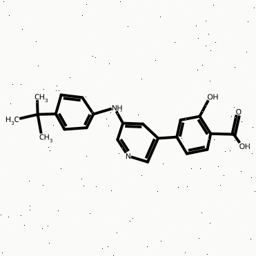 CC(C)(C)c1ccc(Nc2cncc(-c3ccc(C(=O)O)c(O)c3)c2)cc1